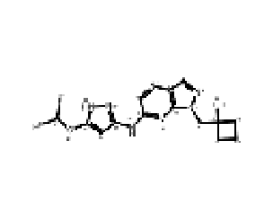 OC1(Cn2ncc3ncc(Nc4cc(OC(F)F)[nH]n4)nc32)CCC1